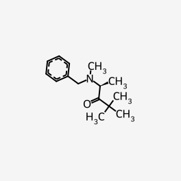 C[C@@H](C(=O)C(C)(C)C)N(C)Cc1ccccc1